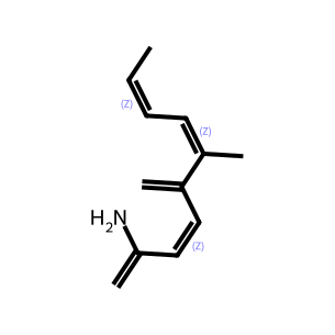 C=C(N)/C=C\C(=C)/C(C)=C\C=C/C